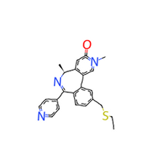 CCSCc1ccc2c(c1)-c1cn(C)c(=O)cc1[C@H](C)N=C2c1ccncc1